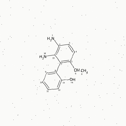 C.Nc1ccc(O)c(-c2ccccc2O)c1N